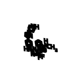 CNC(=O)c1ccccc1Nc1nc(Nc2ccc(-c3ccn(C4CCNCC4)n3)cc2)ncc1C(F)(F)F